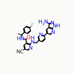 C[C@H](NC(=O)c1cc(C#N)cnc1NCc1ccc(-c2cnc3[nH]nc(N)c3c2)nc1)c1ccc(F)cc1